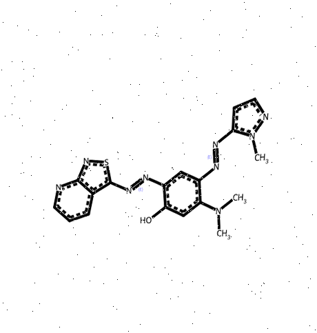 CN(C)c1cc(O)c(/N=N/c2snc3ncccc23)cc1/N=N/c1ccnn1C